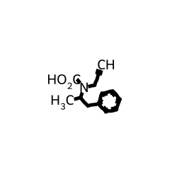 C#CCN(C(=O)O)C(C)Cc1ccccc1